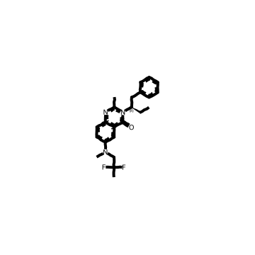 CC[C@H](Cc1ccccc1)n1c(C)nc2ccc(N(C)CC(C)(F)F)cc2c1=O